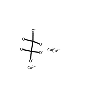 [Co+2].[Co+2].[Co+2].[O-]C([O-])([O-])C([O-])([O-])[O-]